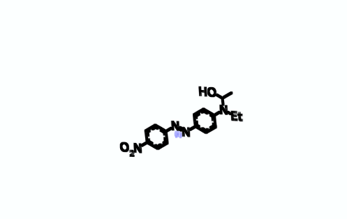 CCN(c1ccc(/N=N/c2ccc([N+](=O)[O-])cc2)cc1)C(C)O